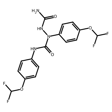 NC(=O)NN(C(=O)Nc1ccc(OC(F)F)cc1)c1ccc(OC(F)F)cc1